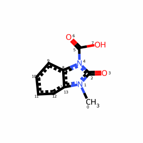 Cn1c(=O)n(C(=O)O)c2ccccc21